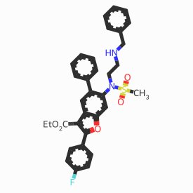 CCOC(=O)c1c(-c2ccc(F)cc2)oc2cc(N(CCNCc3ccccc3)S(C)(=O)=O)c(-c3ccccc3)cc12